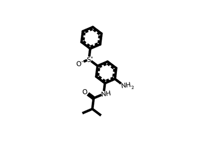 CC(C)C(=O)Nc1cc([S+]([O-])c2ccccc2)ccc1N